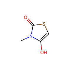 Cn1c(O)csc1=O